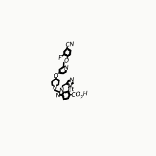 CCn1cncc1Cn1c(CN2CCC(Oc3ccnc(COc4ccc(C#N)cc4F)c3)CC2)nc2ccc(C(=O)O)cc21